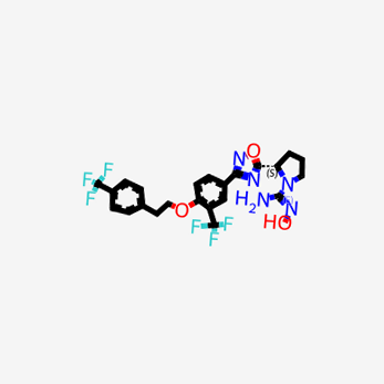 N/C(=N\O)N1CCC[C@H]1c1nc(-c2ccc(OCCc3ccc(C(F)(F)F)cc3)c(C(F)(F)F)c2)no1